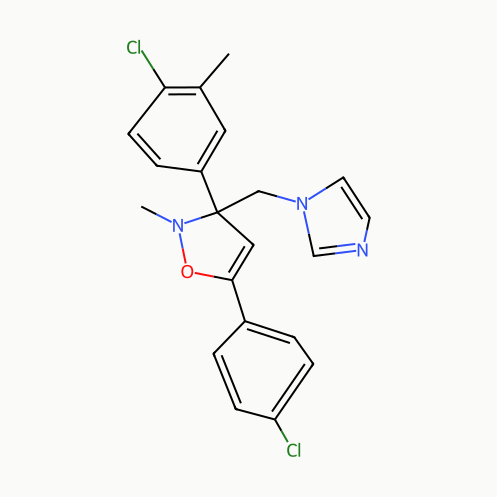 Cc1cc(C2(Cn3ccnc3)C=C(c3ccc(Cl)cc3)ON2C)ccc1Cl